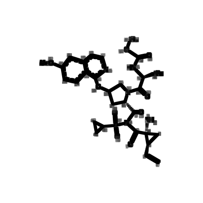 C=C[C@@H]1C[C@]1(N)C(=O)N(C(=O)[C@@H]1CC(Oc2nccc3cc(OC)ccc23)CN1C(=O)[C@@H](NC(=O)OC(C)(C)C)C(C)(C)C)S(=O)(=O)C1CC1